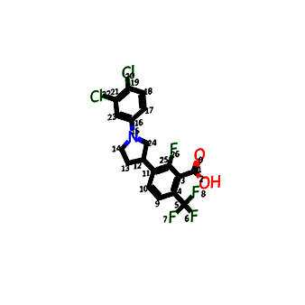 O=C(O)c1c(C(F)(F)F)ccc(C2CCN(c3ccc(Cl)c(Cl)c3)C2)c1F